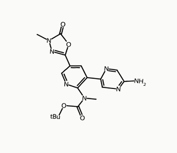 CN(C(=O)OC(C)(C)C)c1ncc(-c2nn(C)c(=O)o2)cc1-c1cnc(N)cn1